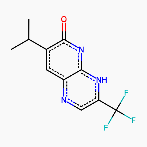 CC(C)c1cc2ncc(C(F)(F)F)[nH]c-2nc1=O